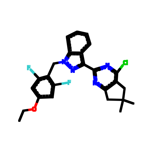 CCOc1cc(F)c(Cn2nc(-c3nc(Cl)c4c(n3)CC(C)(C)C4)c3ccccc32)c(F)c1